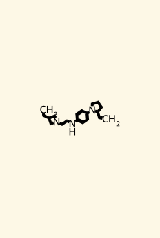 C=CC1CCCN1c1ccc(NCCN2CC(CC)C2)cc1